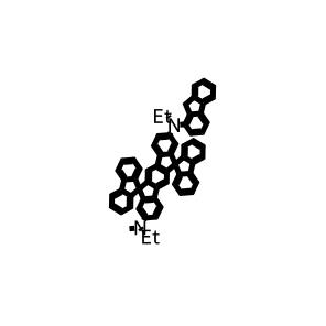 CCN(C)c1ccc2c(c1)C1(c3ccccc3-c3ccccc31)c1cc3c(cc1-2)C1(c2ccccc2-c2ccccc21)c1cc(N(CC)c2cccc4c2Cc2ccccc2-4)ccc1-3